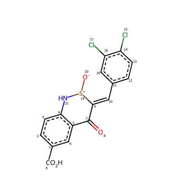 O=C(O)c1ccc2c(c1)C(=O)/C(=C/c1ccc(Cl)c(Cl)c1)[S+]([O-])N2